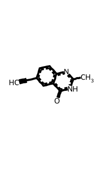 C#Cc1ccc2nc(C)[nH]c(=O)c2c1